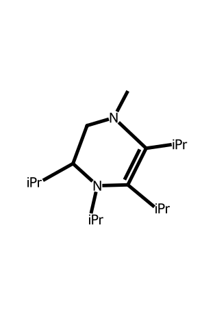 CC(C)C1=C(C(C)C)N(C(C)C)C(C(C)C)CN1C